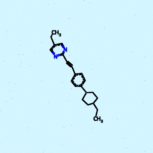 CCc1cnc(C#Cc2ccc(C3CCC(CC)CC3)cc2)nc1